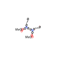 COC(=O)OCc1ccc(N(c2ccc(CC/C=C/c3ccccc3)cc2)c2ccc(-c3ccc(N(c4ccc(CC/C=C/c5ccccc5)cc4)c4ccc(COC(=O)OC)cc4)cc3)cc2)cc1